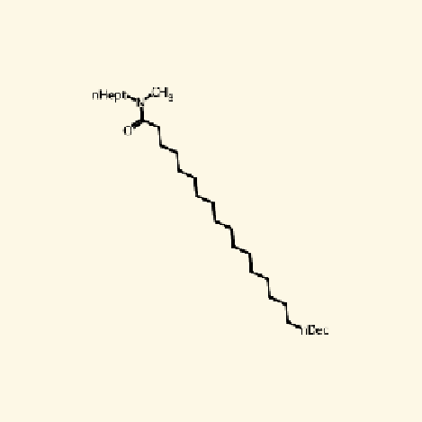 CCCCCCCCCCCCCCCCCCCCCCCCCCC(=O)N(C)CCCCCCC